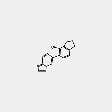 Nc1c(-c2ccc3nccn3c2)ccc2c1CCC2